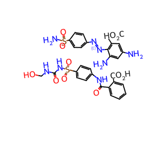 Nc1cc(N)c(/N=N/c2ccc(S(N)(=O)=O)cc2)c(C(=O)O)c1.O=C(NCO)NS(=O)(=O)c1ccc(NC(=O)c2ccccc2C(=O)O)cc1